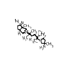 CC1(N)CCN(C(C)(C)CCC(C)(C)N2C[C@H]3CCC(N)[C@@]3(C)C2)C1